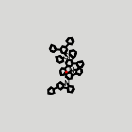 c1ccc(-c2cc(-c3ccccc3)cc([Si](c3ccccc3)(c3ccccc3)c3cc(-c4ccccc4)c(-n4c5ccccc5c5cc(-n6c7ccccc7c7cc(-c8ccccc8)ccc76)ccc54)c(-c4ccccc4)c3)c2)cc1